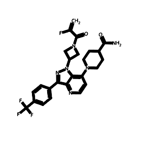 C=C(F)C(=O)N1CC(n2nc(-c3ccc(C(F)(F)F)cc3)c3nccc(N4CCC(C(N)=O)CC4)c32)C1